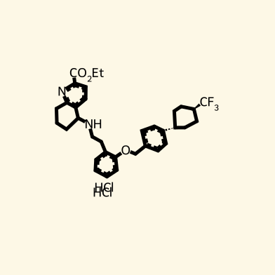 CCOC(=O)c1ccc2c(n1)CCCC2NCCc1ccccc1OCc1ccc([C@H]2CC[C@H](C(F)(F)F)CC2)cc1.Cl.Cl